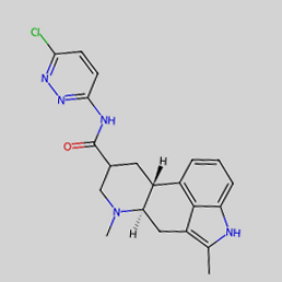 Cc1[nH]c2cccc3c2c1C[C@@H]1[C@@H]3CC(C(=O)Nc2ccc(Cl)nn2)CN1C